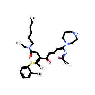 CCCCCCN(CC)C(=O)C/C(C(=O)/C=C/C=C(\N=C(\C)I)N1CCCNCC1)=C(/C)Sc1ccccc1C